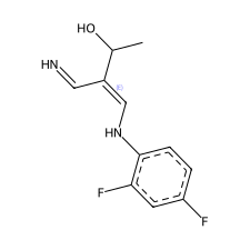 CC(O)/C(C=N)=C/Nc1ccc(F)cc1F